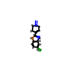 Brc1ccc2sc(C3=CCNCC3)nc2c1